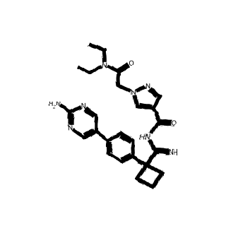 CCN(CC)C(=O)Cn1cc(C(=O)NC(=N)C2(c3ccc(-c4cnc(N)nc4)cc3)CCC2)cn1